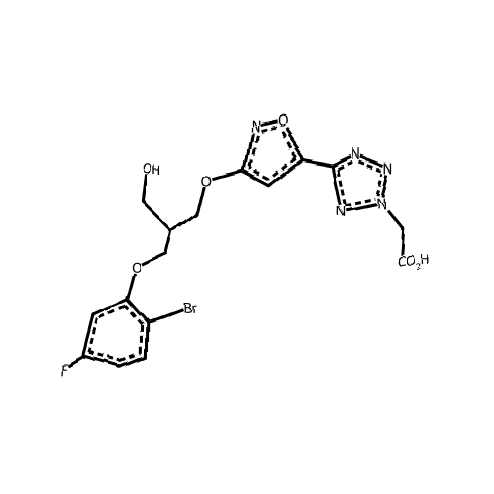 O=C(O)Cn1nnc(-c2cc(OCC(CO)COc3cc(F)ccc3Br)no2)n1